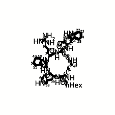 CCCCCCC(=O)N[C@H]1CCC(=O)NCCC(C(=O)N[C@@H](Cc2c[nH]c3ccccc23)C(N)=O)NC(=O)[C@H](CCCNC(=N)N)NC(=O)[C@@H](Cc2ccccc2)NC(=O)[C@H](Cc2c[nH]cn2)NC1=O